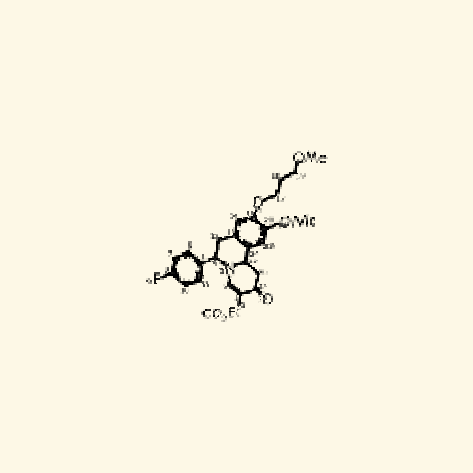 CCOC(=O)C1=CN2C(c3ccc(F)cc3)Cc3cc(OCCCOC)c(OC)cc3C2CC1=O